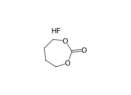 F.O=C1OCCCCO1